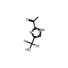 [2H]C([2H])(O)c1c[nH]c(C(C)=O)n1